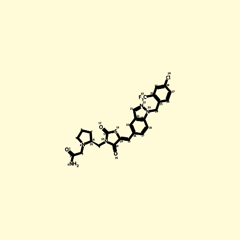 NC(=O)CN1CCC[C@H]1CN1C(=O)SC(=Cc2ccc3c(cnn3Cc3ccc(Cl)cc3C(F)(F)F)c2)C1=O